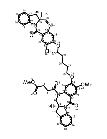 COC(=O)CCC(=O)N1C[C@@H]2Cc3ccccc3N2C(=O)c2cc(OC)c(OCCCCCOc3cc4c(cc3C)C(=O)N3c5ccccc5C[C@H]3C=N4)cc21